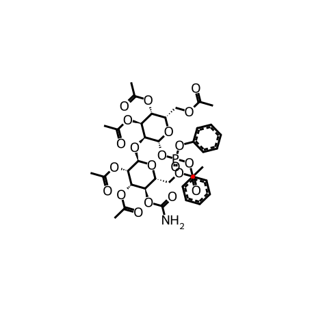 CC(=O)OC[C@@H]1O[C@H](OP(=O)(Oc2ccccc2)Oc2ccccc2)[C@@H](O[C@H]2O[C@H](COC(C)=O)[C@@H](OC(N)=O)[C@H](OC(C)=O)[C@@H]2OC(C)=O)[C@@H](OC(C)=O)[C@@H]1OC(C)=O